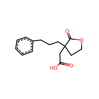 O=C(O)CC1(CCCc2ccccc2)CCOC1=O